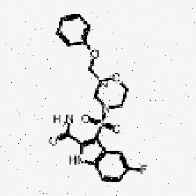 NC(=O)c1[nH]c2ccc(F)cc2c1S(=O)(=O)N1CCO[C@H](COc2ccccc2)C1